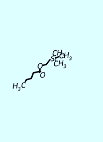 CCCCC(=O)OCC[Si](C)(C)C